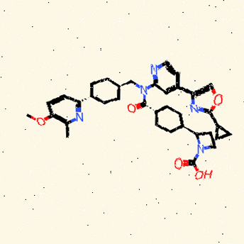 COc1ccc([C@H]2CC[C@H](CN(c3cc(-c4coc(C5CC5)n4)ccn3)C(=O)[C@H]3CC[C@H](C4CCN4C(=O)O)CC3)CC2)nc1C